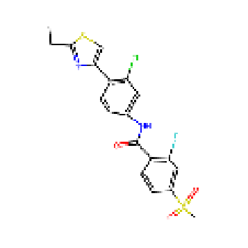 CCc1nc(-c2ccc(NC(=O)c3ccc(S(C)(=O)=O)cc3F)cc2Cl)cs1